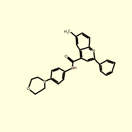 Cc1ccc2nc(-c3ccccc3)cc(C(=O)Nc3ccc(N4CCOCC4)cc3)c2c1